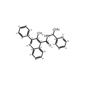 CC(=O)OC(NC(=O)c1c(C)c(-c2ccccc2)nc2ccccc12)c1ccccn1